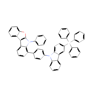 c1ccc(-n2c3oc4ccccc4c3c3cccc(-c4ccc(-n5c6ccccc6c6cc([Si](c7ccccc7)(c7ccccc7)c7ccccc7)ccc65)cc4)c32)cc1